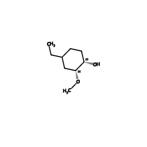 CCC1CC[C@H](O)[C@H](OC)C1